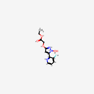 CCOC(=O)COc1cc(-c2ncccc2F)n(O)n1